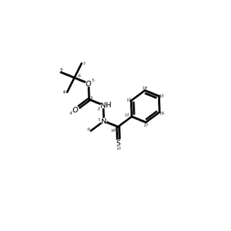 CN(NC(=O)OC(C)(C)C)C(=S)c1ccccc1